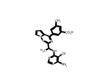 Cc1cc(C(=O)O)cc(-c2nc(C(C)Nc3ncnc(N)c3C#N)nn3cccc23)c1